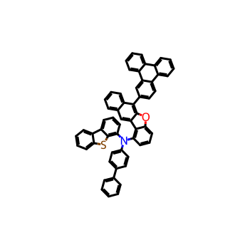 c1ccc(-c2ccc(N(c3cccc4c3sc3ccccc34)c3cccc4oc5c(-c6ccc7c8ccccc8c8ccccc8c7c6)c6ccccc6cc5c34)cc2)cc1